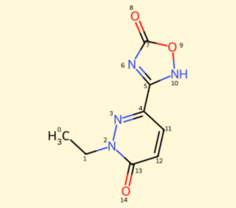 CCn1nc(-c2nc(=O)o[nH]2)ccc1=O